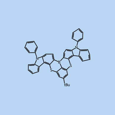 CC(C)(C)c1cc2c3c(c1)Sc1c(ccc4c1c1ccccc1n4-c1ccccc1)B3c1ccc3c(c1S2)c1ccccc1n3-c1ccccc1